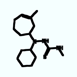 CNC(=S)NN(C1CCCCC1)C1CCCC=C(C)C1